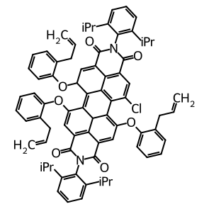 C=CCc1ccccc1OC1=CC2=C3C(=CC(Oc4ccccc4CC=C)=C4c5c(Cl)cc6c7c5C(=C1C34)C(Oc1ccccc1CC=C)C=C7C(=O)N(c1c(C(C)C)cccc1C(C)C)C6=O)C(=O)N(c1c(C(C)C)cccc1C(C)C)C2=O